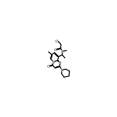 Cc1cc(C(C)N(C)C(=O)CCl)c2nc(N3CCCCC3)cc(=O)n2c1